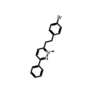 C[n+]1nc(-c2ccccc2)ccc1CCc1ccc(Br)cc1